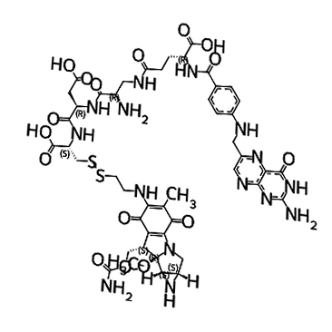 CO[C@@]12[C@H](COC(N)=O)C3=C(C(=O)C(C)=C(NCCSSC[C@@H](NC(=O)[C@@H](CC(=O)O)NC(=O)[C@H](N)CNC(=O)CC[C@@H](NC(=O)c4ccc(NCc5cnc6nc(N)[nH]c(=O)c6n5)cc4)C(=O)O)C(=O)O)C3=O)N1C[C@@H]1N[C@@H]12